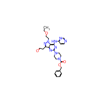 CCOCCn1nc(CC=O)c2nc(N3CCN(C(=O)OCc4ccccc4)CC3)nc(Nc3ccncn3)c21